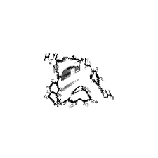 Cc1ccn(CCNc2nc(N)nc(-c3ccc4cnn(C5CCCCO5)c4c3)n2)n1